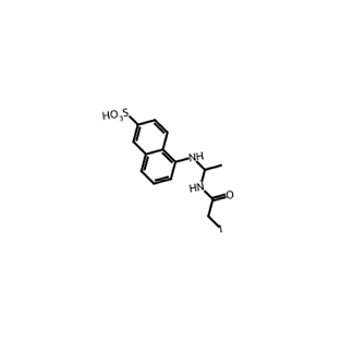 CC(NC(=O)CI)Nc1cccc2cc(S(=O)(=O)O)ccc12